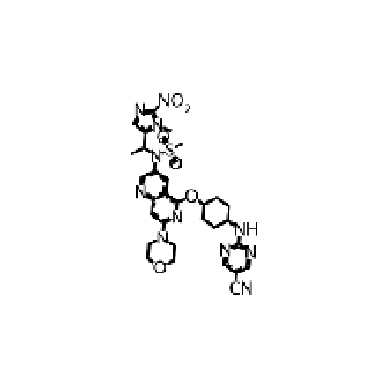 CC(c1cnc([N+](=O)[O-])n1C)N(c1cnc2cc(N3CCOCC3)nc(OC3CCC(Nc4ncc(C#N)cn4)CC3)c2c1)S(C)(=O)=O